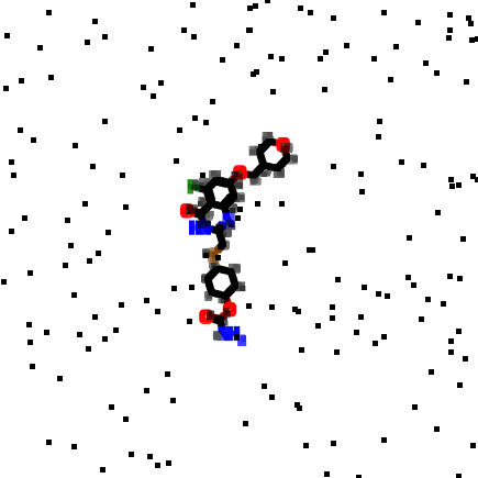 NC(=O)O[C@H]1CC[C@H](SCc2nc3cc(OCC4CCOCC4)cc(F)c3c(=O)[nH]2)CC1